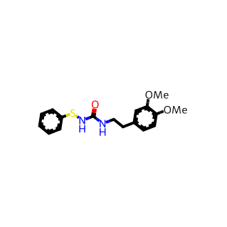 COc1ccc(CCNC(=O)NSc2ccccc2)cc1OC